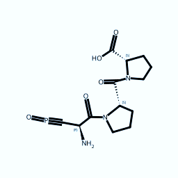 N[C@@H](C#P=O)C(=O)N1CCC[C@H]1C(=O)N1CCC[C@H]1C(=O)O